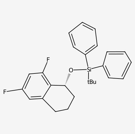 CC(C)(C)[Si](O[C@@H]1CCCc2cc(F)cc(F)c21)(c1ccccc1)c1ccccc1